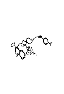 COc1ccc2ncc(Cl)c(CCCC3(C(=O)NO)CCN(CC#Cc4ccc(F)cc4)CC3)c2c1